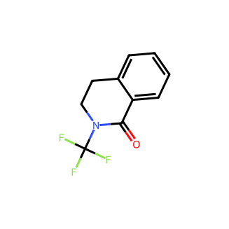 O=C1c2ccccc2CCN1C(F)(F)F